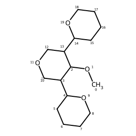 COC1C(C2CCCCO2)[C]OCC1C1CCCCO1